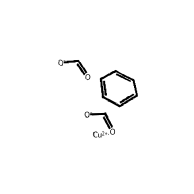 O=C[O-].O=C[O-].[Cu+2].c1ccccc1